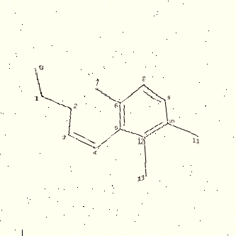 CCC/C=[C]\c1c(C)ccc(C)c1C